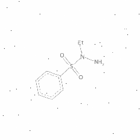 CCN(N)S(=O)(=O)c1ccccc1